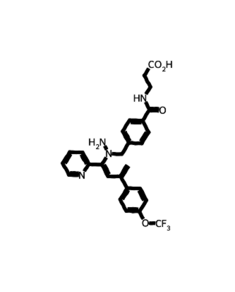 C=C(/C=C(/c1ccccn1)N(N)Cc1ccc(C(=O)NCCC(=O)O)cc1)c1ccc(OC(F)(F)F)cc1